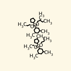 CCCO[Si](OCC(C)CC)(C1CCCC1)C1CC(C)CC(C)C1.CCCO[Si](OCC)(C1CCC(C)C1)C1CC(C)CC(C)C1